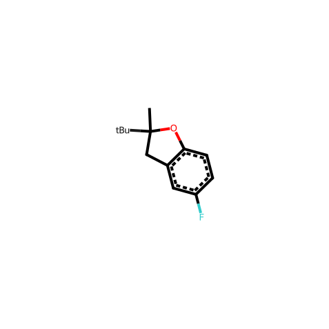 CC(C)(C)C1(C)Cc2cc(F)ccc2O1